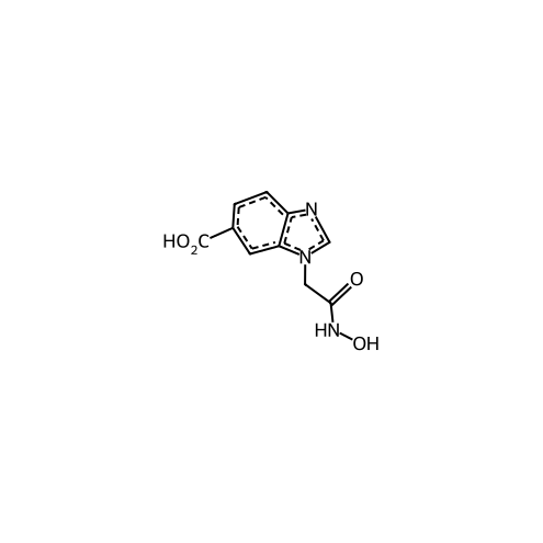 O=C(Cn1cnc2ccc(C(=O)O)cc21)NO